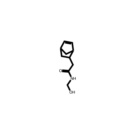 O=C(CC1CC2C=CC1C2)NCO